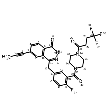 CC#Cc1ccc2c(=O)[nH]nc(Cc3ccc(F)c(C(=O)N4CCN(C(=O)CCC(F)(F)F)CC4)c3)c2c1